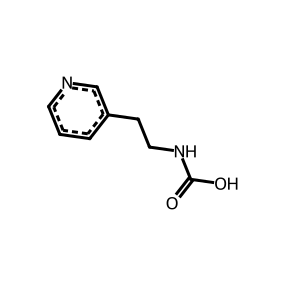 O=C(O)NCCc1cccnc1